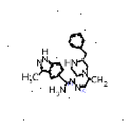 C=C(/C=N\N=C(/N)c1ccc2[nH]nc(C)c2c1)N1CCN[C@@H](Cc2ccccc2)C1